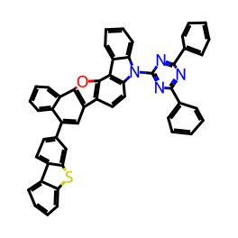 c1ccc(-c2nc(-c3ccccc3)nc(-n3c4ccccc4c4c5oc6c7ccccc7c(-c7ccc8c(c7)sc7ccccc78)cc6c5ccc43)n2)cc1